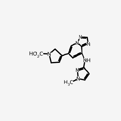 Cn1ccc(Nc2cc(C3=CCN(C(=O)O)C3)cn3ncnc23)n1